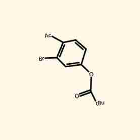 CC(=O)c1ccc(OC(=O)C(C)(C)C)cc1Br